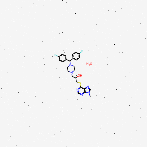 Cn1cnc2c(SCC(O)CN3CCN(C(c4ccc(F)cc4)c4ccc(F)cc4)CC3)ncnc21.O